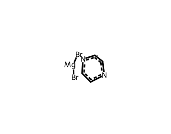 [Br][Mg][Br].[c]1cnccn1